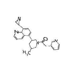 CC1CC(c2ccc(C3C=N3)c3ncccc23)CN(C(=O)Cc2cccnc2)C1